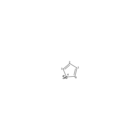 [c]1ccc[se]1